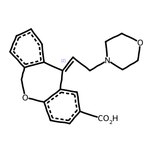 O=C(O)c1ccc2c(c1)/C(=C\CN1CCOCC1)c1ccccc1CO2